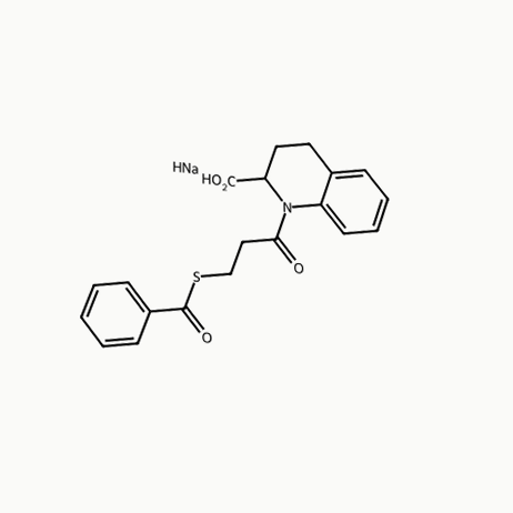 O=C(SCCC(=O)N1c2ccccc2CCC1C(=O)O)c1ccccc1.[NaH]